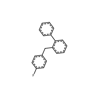 Fc1ccc(Cc2ccccc2-c2ccccc2)cc1